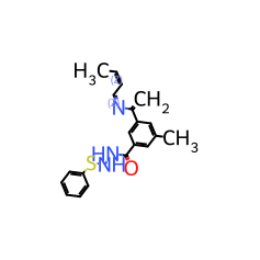 C=C(/N=C\C=C/C)c1cc(C)cc(C(=O)NNSc2ccccc2)c1